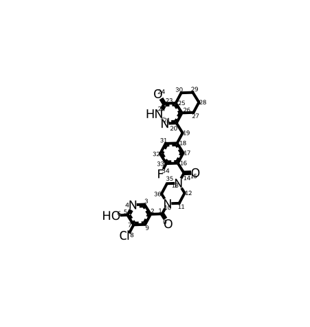 O=C(c1cnc(O)c(Cl)c1)N1CCN(C(=O)c2cc(Cc3n[nH]c(=O)c4c3CCCC4)ccc2F)CC1